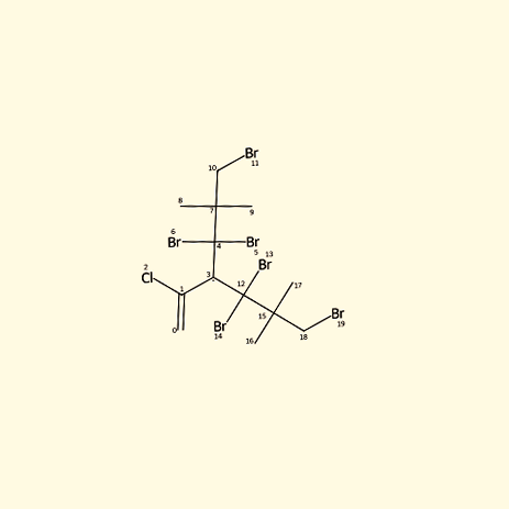 C=C(Cl)[C](C(Br)(Br)C(C)(C)CBr)C(Br)(Br)C(C)(C)CBr